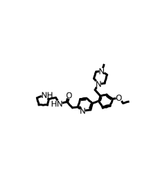 CCOc1ccc(-c2ccc(CC(=O)NCC3CCCN3)nc2)c(CN2CCN(C)CC2)c1